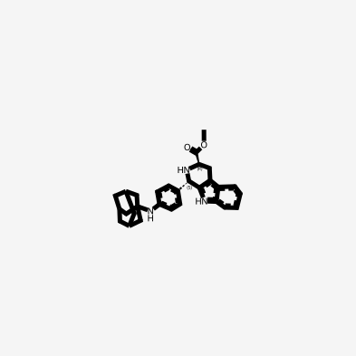 COC(=O)[C@H]1Cc2c([nH]c3ccccc23)[C@H](c2ccc(NC34CC5CC(CC(C5)C3)C4)cc2)N1